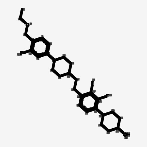 CCOCc1ccc(C2CCC(CCc3ccc(C4CCC(O)CC4)c(F)c3F)CC2)cc1F